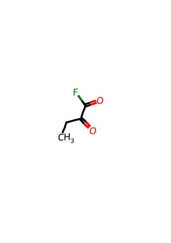 CCC(=O)C(=O)F